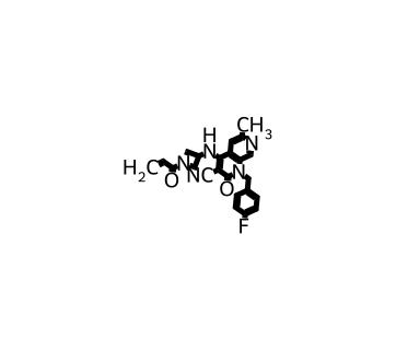 C=CC(=O)N1CC(Nc2c(C#N)c(=O)n(Cc3ccc(F)cc3)c3cnc(C)cc23)C1